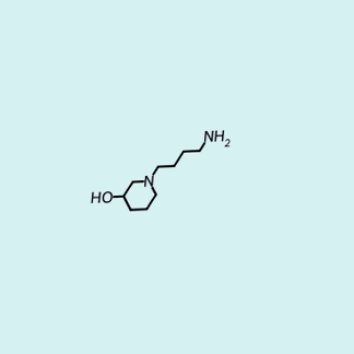 NCCCCN1CCCC(O)C1